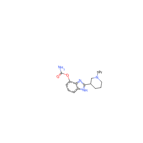 CCCN1CCCC(c2nc3c(OC(N)=O)cccc3[nH]2)C1